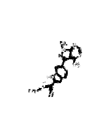 CCCNC(=O)c1cc2ccc(-c3nn(C(C)(C)C)c4ncnc(N)c34)cc2[nH]1